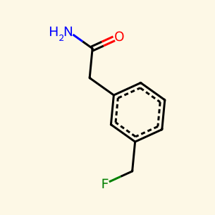 NC(=O)Cc1cccc(CF)c1